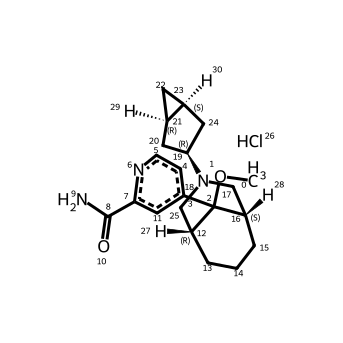 COC1(c2ccnc(C(N)=O)c2)[C@@H]2CCC[C@H]1CN([C@H]1C[C@H]3C[C@H]3C1)C2.Cl